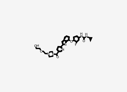 O=C(Nc1ccc(Oc2cccc3cc(-c4ccc(C(=O)N5CCN(CCOCCO)CC5)cn4)sc23)c(F)c1)NC1CC1